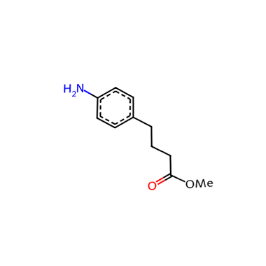 [CH2]OC(=O)CCCc1ccc(N)cc1